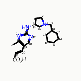 Cc1nc(N[C@@H]2CCN(CC3CCCCC3)C2)ncc1C=CC(=O)O